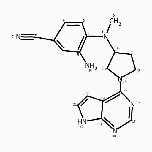 CN(c1ccc(C#N)cc1N)C1CCN(c2ncnc3[nH]ccc23)C1